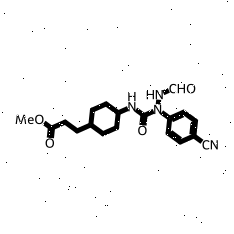 COC(=O)CCC1CCC(NC(=O)N(NC=O)c2ccc(C#N)cc2)CC1